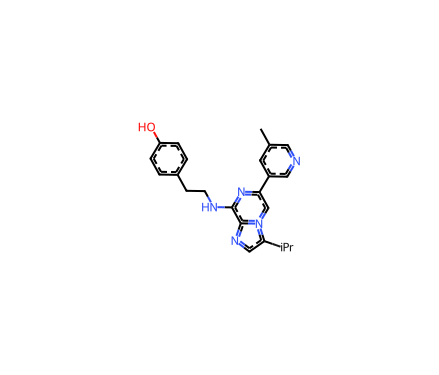 Cc1cncc(-c2cn3c(C(C)C)cnc3c(NCCc3ccc(O)cc3)n2)c1